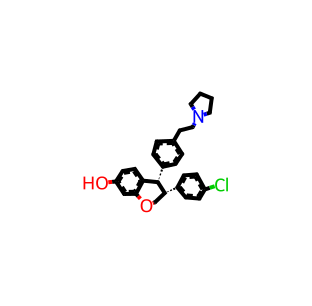 Oc1ccc2c(c1)OC[C@@H](c1ccc(Cl)cc1)[C@H]2c1ccc(CCN2CCCC2)cc1